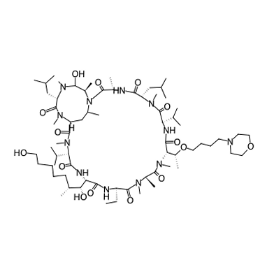 CC[C@@H]1NC(=O)[C@H]([C@H](O)[C@H](C)CCCCCO)NC(=O)[C@H](C(C)C)N(C)C(=O)[C@@H]2CC(C)N(C(=O)[C@H](C)NC(=O)[C@H](CC(C)C)N(C)C(=O)[C@H](C(C)C)NC(=O)[C@H]([C@@H](C)OCCCCN3CCOCC3)N(C)C(=O)[C@@H](C)N(C)C1=O)[C@H](C)C(O)N(C)[C@@H](CC(C)C)C(=O)N2C